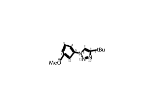 COc1cccc(-n2cc(C(C)(C)C)nn2)c1